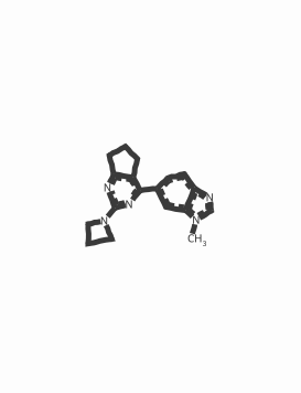 Cn1cnc2ccc(-c3nc(N4CCC4)nc4c3CCC4)cc21